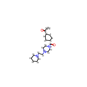 CC(C)C(=O)[C@H]1CC[C@H](C(=O)N2CCN(CCN3CCCCC3)CC2)CC1